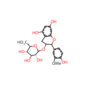 COc1cc(C2Oc3cc(O)cc(O)c3CC2OC2O[C@H](C(=O)O)[C@@H](O)[C@H](O)[C@H]2O)ccc1O